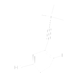 C[Si](C)(C)C#CC1=C(F)C[CH]C(O)=C1